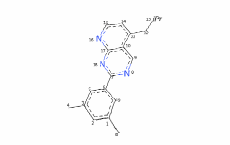 Cc1cc(C)cc(-c2ncc3c(CC(C)C)ccnc3n2)c1